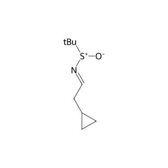 CC(C)(C)[S+]([O-])/N=C/CC1CC1